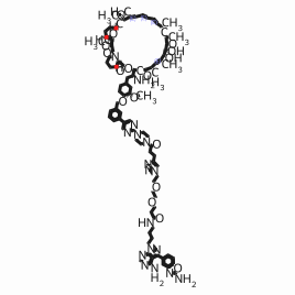 COC1C[C@@H]2CC[C@@H](C)[C@@](O)(O2)C(=O)C(=O)N2CCCC[C@H]2C(=O)OC(C(N)CC2CCC(OCc3cccc(-c4cnc(N5CCN(C(=O)CCc6cn(CCOCCOCCC(=O)NCCCCn7nc(-c8ccc9oc(N)nc9c8)c8c(N)ncnc87)nn6)CC5)nc4)c3)[C@H](OC)C2)CC(=O)C(C)/C=C(\C)C(O)[C@@H](O)C(=O)C(C)CC(C)/C=C/C=C/C=C/1C